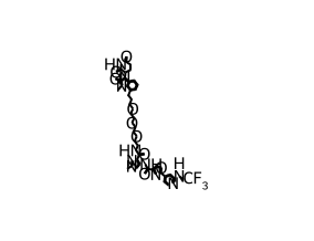 Cn1cc(NC(=O)c2coc(-c3ccnc(NCC(F)(F)F)c3)n2)c(C(=O)NCCOCCOCCOCCCc2cccc3c2n(C)c(=O)n3C2CCC(=O)NC2=O)n1